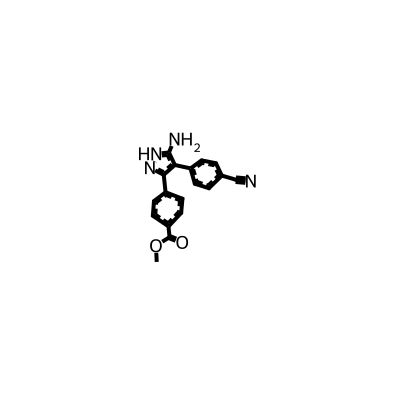 COC(=O)c1ccc(-c2n[nH]c(N)c2-c2ccc(C#N)cc2)cc1